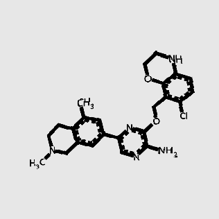 Cc1cc(-c2cnc(N)c(OCc3c(Cl)ccc4c3OCCN4)n2)cc2c1CCN(C)C2